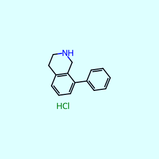 Cl.c1ccc(-c2cccc3c2CNCC3)cc1